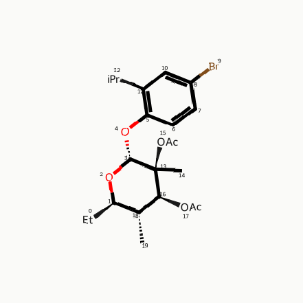 CC[C@H]1O[C@H](Oc2ccc(Br)cc2C(C)C)[C@@](C)(OC(C)=O)[C@@H](OC(C)=O)[C@@H]1C